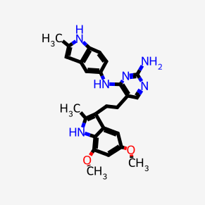 COc1cc(OC)c2[nH]c(C)c(CCc3cnc(N)nc3Nc3ccc4[nH]c(C)cc4c3)c2c1